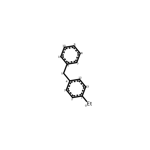 CCc1ccc(Cc2cc[c]cc2)cc1